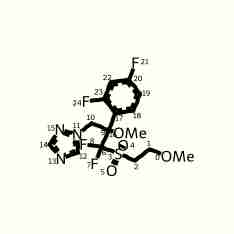 COCCS(=O)(=O)C(F)(F)C(Cn1cncn1)(OC)c1ccc(F)cc1F